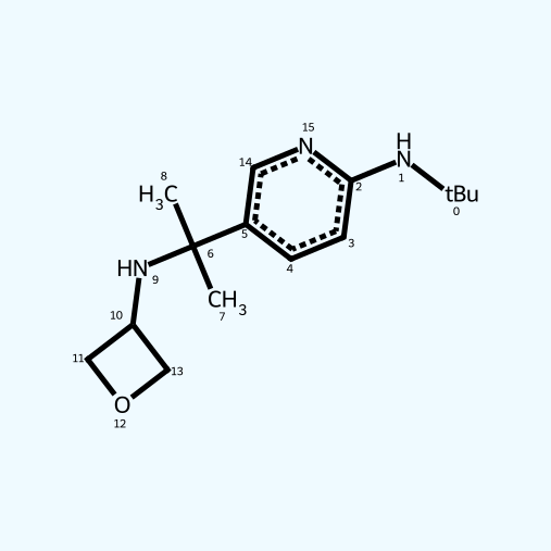 CC(C)(C)Nc1ccc(C(C)(C)NC2COC2)cn1